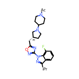 CC(=O)N1CCC(N2CC[C@H](Cc3nc(-n4nc(C(C)C)c5cccc(F)c54)no3)C2)CC1